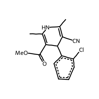 COC(=O)C1=C(C)NC(C)=C(C#N)C1c1ccccc1Cl